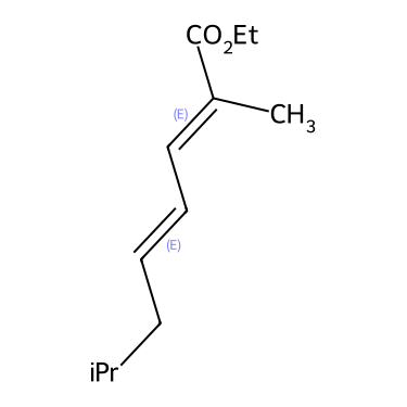 CCOC(=O)/C(C)=C/C=C/CC(C)C